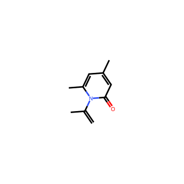 C=C(C)n1c(C)cc(C)cc1=O